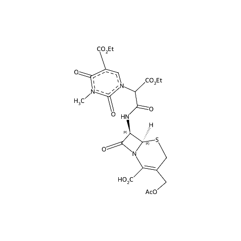 CCOC(=O)c1cn(C(C(=O)N[C@@H]2C(=O)N3C(C(=O)O)=C(COC(C)=O)CS[C@H]23)C(=O)OCC)c(=O)n(C)c1=O